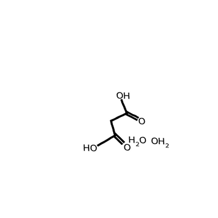 O.O.O=C(O)CC(=O)O